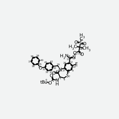 CC(C)(C)OC(=O)N[C@H]1CSc2cc(F)c(/C(N)=N/OC(=O)C(C)(C)S(C)(=O)=O)cc2N(Cc2ccc(Oc3ccccc3)cc2)C1=O